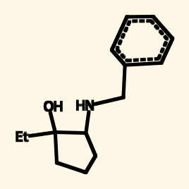 CCC1(O)CCCC1NCc1ccccc1